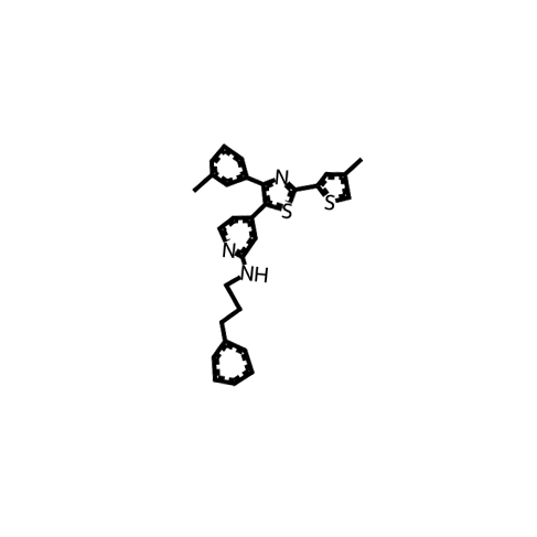 Cc1cccc(-c2nc(-c3cc(C)cs3)sc2-c2ccnc(NCCCc3ccccc3)c2)c1